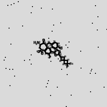 N[C@H]1CS(=O)(=O)c2cc(F)c(-c3nnc(N4CC5(C4)CC(F)(F)C5)o3)cc2N(Cc2ccc(Cl)cc2)C1=O